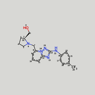 OC[C@@H]1CCCN1Cc1cccc2nc(Nc3ccc(C(F)(F)F)cc3)nn12